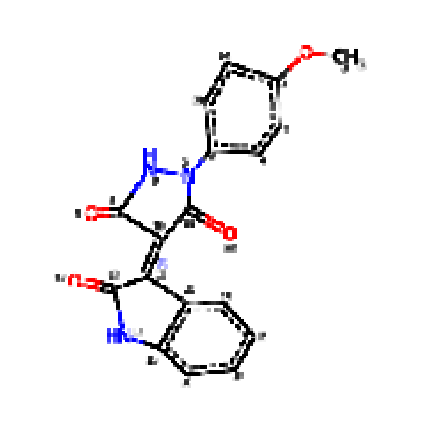 COc1ccc(N2NC(=O)/C(=C3\C(=O)Nc4ccccc43)C2=O)cc1